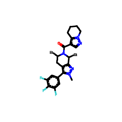 CCC1Cc2c(nn(C)c2-c2cc(F)c(F)c(F)c2)C(CC)N1C(=O)c1cnn2c1CCCC2